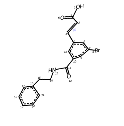 O=C(O)/C=C/c1cc(Br)cc(C(=O)NCCc2ccccc2)c1